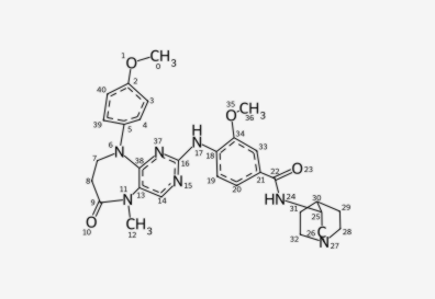 COc1ccc(N2CCC(=O)N(C)c3cnc(Nc4ccc(C(=O)NC5CN6CCC5CC6)cc4OC)nc32)cc1